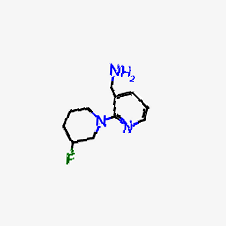 NCc1cccnc1N1CCCC(F)C1